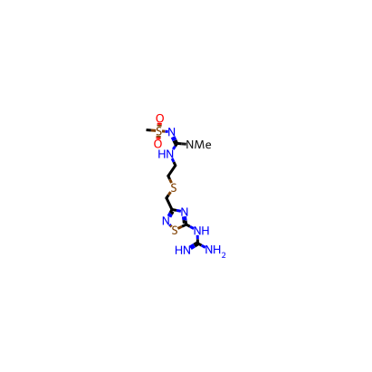 CN/C(=N/S(C)(=O)=O)NCCSCc1nsc(NC(=N)N)n1